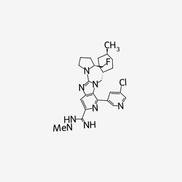 CNNC(=N)c1cc2nc(N3CCC[C@H]3CF)n(C[C@H]3CC[C@H](C)CC3)c2c(-c2cncc(Cl)c2)n1